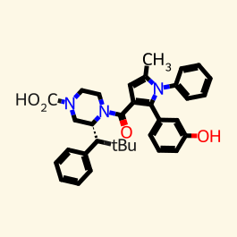 Cc1cc(C(=O)N2CCN(C(=O)O)C[C@H]2C(c2ccccc2)C(C)(C)C)c(-c2cccc(O)c2)n1-c1ccccc1